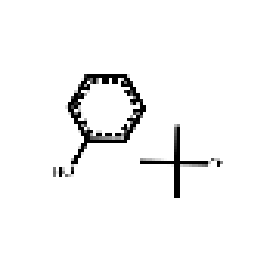 CC(C)(C)[O].Oc1ccccc1